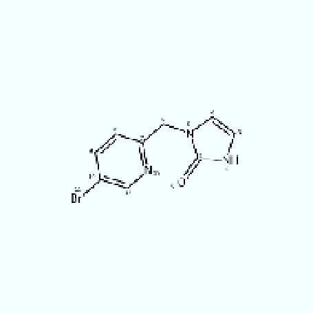 O=c1[nH]ccn1Cc1ccc(Br)cn1